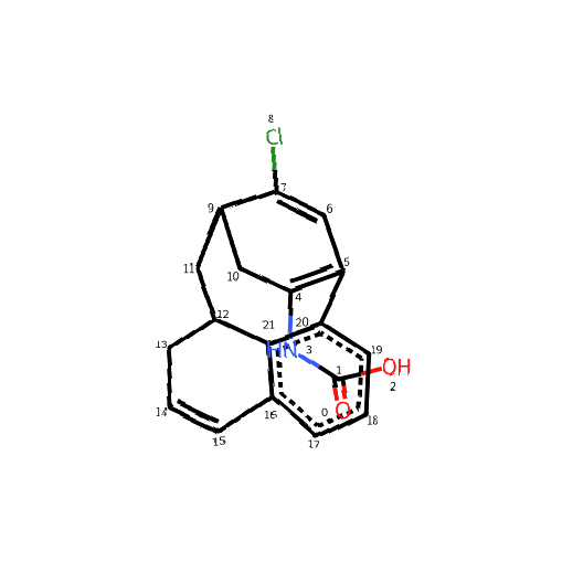 O=C(O)NC1=C2C=C(Cl)C(C1)CC1CC=Cc3cccc2c31